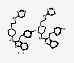 Fc1ccc(Cn2c(NC3CCN(CCNc4ccncn4)CC3)nc3ccccc32)cc1.Fc1ccc(Cn2c(NC3CCN(CCNc4ccncn4)CC3)nc3ccccc32)cc1.O